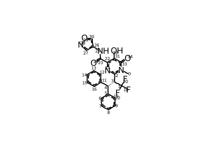 Cn1c([C@@H](C(c2ccccc2)c2ccccc2)C(F)(F)F)nc(C(=O)Nc2cnoc2)c(O)c1=O